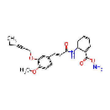 CCC#CCOc1cc(/C=C/C(=O)NC2CC=CC=C2C(=O)ON)ccc1OC